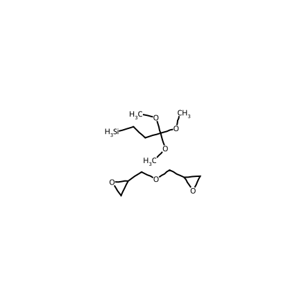 C(OCC1CO1)C1CO1.COC(CC[SiH3])(OC)OC